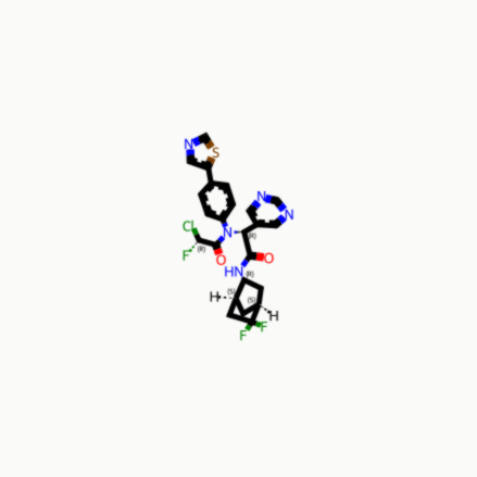 O=C(N[C@@H]1C[C@@H]2C[C@H]1CC2(F)F)[C@@H](c1cncnc1)N(C(=O)[C@H](F)Cl)c1ccc(-c2cncs2)cc1